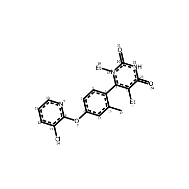 CCc1c(-c2ccc(Oc3ncccc3Cl)cc2C)n(CC)c(=O)[nH]c1=O